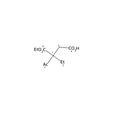 CCOC(=O)C(CC)(CC(=O)O)C(C)=O